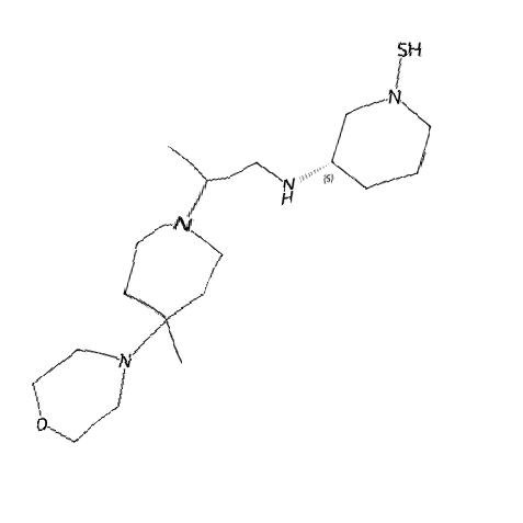 CC(CN[C@H]1CCCN(S)C1)N1CCC(C)(N2CCOCC2)CC1